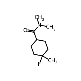 CN(C)C(=O)C1CCC(C)(F)CC1